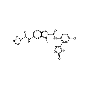 Cn1c(C(=O)Nc2ccc(Cl)cc2-c2noc(=O)[nH]2)cc2ccc(NC(=O)c3ccno3)cc21